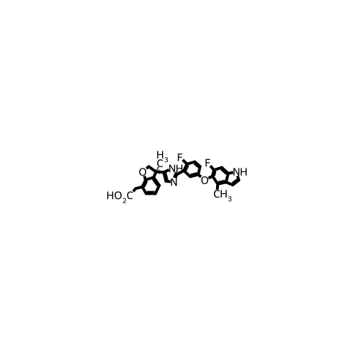 Cc1c(Oc2ccc(F)c(-c3ncc([C@]4(C)COc5c(CC(=O)O)cccc54)[nH]3)c2)c(F)cc2[nH]ccc12